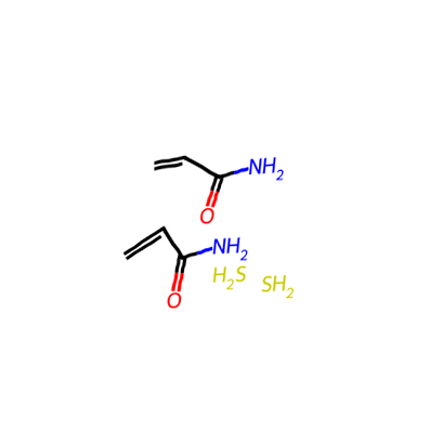 C=CC(N)=O.C=CC(N)=O.S.S